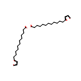 O=C(CCCCCCCCCCCc1ccco1)OC(=O)CCCCCCCCCCCc1ccco1